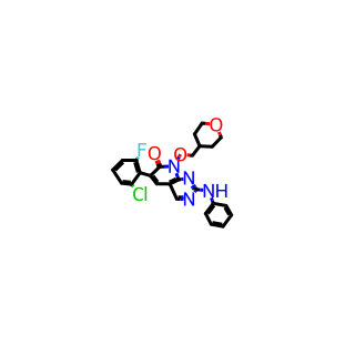 O=c1c(-c2c(F)cccc2Cl)cc2cnc(Nc3ccccc3)nc2n1OCC1CCOCC1